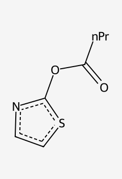 CCCC(=O)Oc1nccs1